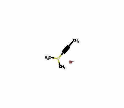 CC#C[S+](C)C.[Br-]